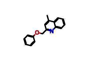 Cc1cc(COc2ccccc2)nc2ccccc12